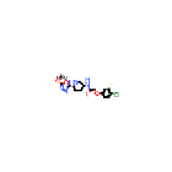 CCCCOc1nnc([C@H]2CC[C@H](NC(=O)COc3ccc(Cl)c(F)c3)CN2)o1